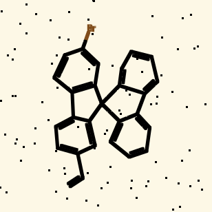 C=Cc1ccc2c(c1)C1(c3ccccc3-c3ccccc31)c1cc(Br)ccc1-2